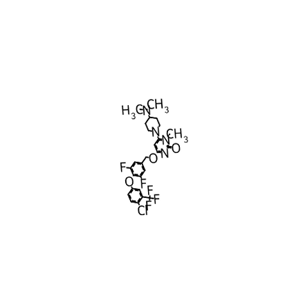 CN(C)C1CCN(c2cc(OCc3cc(F)c(Oc4ccc(Cl)c(C(F)(F)F)c4)c(F)c3)nc(=O)n2C)CC1